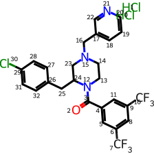 Cl.Cl.O=C(c1cc(C(F)(F)F)cc(C(F)(F)F)c1)N1CCN(Cc2cccnc2)CC1Cc1ccc(Cl)cc1